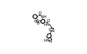 O=C(NCc1cnc(-c2ccc3[nH]ncc3c2)s1)c1ccc2c(c1)NC(=O)c1ccccc1S2(=O)=O